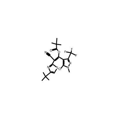 Cn1nc(C(F)(F)F)c(/C(OC(=O)C(C)(C)C)=C(/C#N)c2nc(C(C)(C)C)cs2)c1Cl